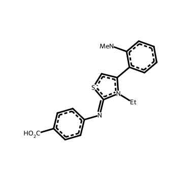 CCn1c(-c2ccccc2NC)cs/c1=N\c1ccc(C(=O)O)cc1